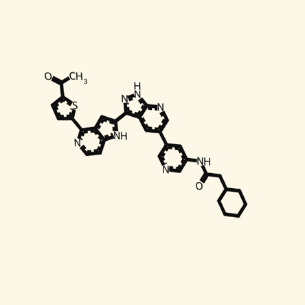 CC(=O)c1ccc(-c2nccc3[nH]c(-c4n[nH]c5ncc(-c6cncc(NC(=O)CC7CCCCC7)c6)cc45)cc23)s1